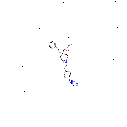 CCOCC1(CCc2ccccc2)CCN(CCc2ccc(N)cc2)CC1